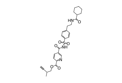 C#CC(C)COC(=O)c1ccc(C(=O)NS(=O)(=O)c2ccc(CCNC(=O)C3CCCCC3)cc2)cn1